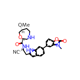 CO[C@@H]1CCNC[C@@H](C(=O)N[C@@H](C#N)Cc2cc3ccc(-c4ccc5oc(=O)n(C)c5c4)cc3[nH]2)OC1